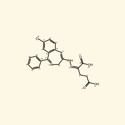 O=C(O)CC/C(=N/NC1=Nc2ccc(Cl)cc2C(c2ccccc2)=NC1)C(=O)O